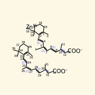 CC1=C(/C=C/C(C)=C\C=C\C(C)=C\C(=O)[O-])C(C)(C)CCC1.CC1=C(/C=C/C(C)=C\C=C\C(C)=C\C(=O)[O-])C(C)(C)CCC1.[Zn+2]